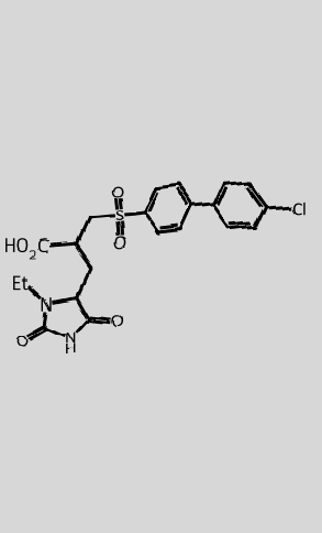 CCN1C(=O)NC(=O)C1CC(CS(=O)(=O)c1ccc(-c2ccc(Cl)cc2)cc1)C(=O)O